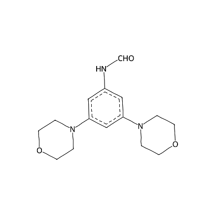 O=CNc1cc(N2CCOCC2)cc(N2CCOCC2)c1